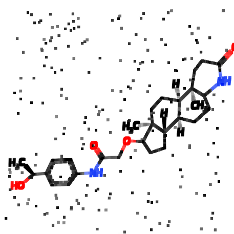 C[C@H](O)c1ccc(NC(=O)COC2CC[C@H]3[C@@H]4CCC5NC(=O)CC[C@]5(C)[C@@H]4CC[C@]23C)cc1